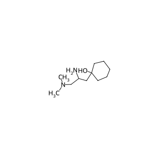 CN(C)CC(N)CC1(O)CCCCC1